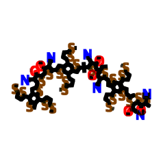 CCC1(C2SC(C(C)(C)C3CC4C(S3)C(C3CCC(SC)S3)C3CC(C5SC(C6SC(C7CC8C(S7)C(C7CCC(SC)S7)C7=C(SC7)C8C7CCC(SC)S7)C(C#N)C6OC)C(OC)C5C#N)SC3C4C3CCC(SC)S3)C(C#N)C2OC)SC(c2cc3c(s2)C(C2CCC(SC)S2)=C2CC(C(C)SC(C(C#N)OC)C(S)C(OC)C(C)C#N)SC2C3C2CCC(SC)S2)C(C#N)C1OC